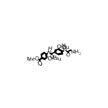 COC(=O)c1ccc(NC(=O)c2ccc(NC(=O)CN)c(OCC(C)C)c2)c(OCC(C)C)c1